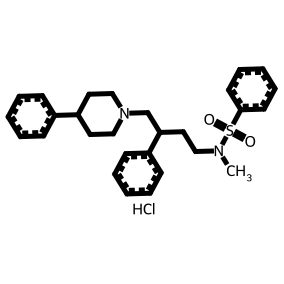 CN(CCC(CN1CCC(c2ccccc2)CC1)c1ccccc1)S(=O)(=O)c1ccccc1.Cl